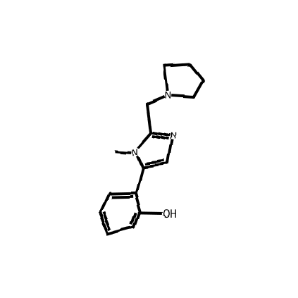 Cn1c(-c2ccccc2O)cnc1CN1CCCC1